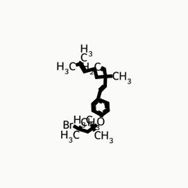 C=CC(C)(/C=C/c1ccc(OC(C)(C)CC(C)(C)Br)cc1)CCC=C(C)C